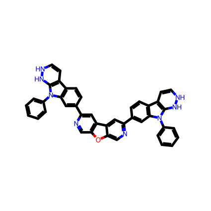 C1=Cc2c(n(-c3ccccc3)c3cc(-c4cc5c(cn4)oc4cnc(-c6ccc7c8c(n(-c9ccccc9)c7c6)NNC=C8)cc45)ccc23)NN1